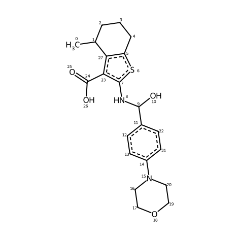 CC1CCCc2sc(NC(O)c3ccc(N4CCOCC4)cc3)c(C(=O)O)c21